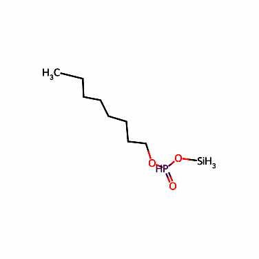 CCCCCCCCO[PH](=O)O[SiH3]